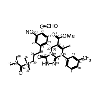 COC(=O)C1=C(C)N(c2cccc(C(F)(F)F)c2)c2n[nH]c(=O)n2[C@@H]1c1ccc(C#N)cc1CCC[N+](C)(C)C(=O)N(C)C.O=C[O-]